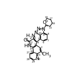 Cc1cc2c(-c3cccc4c3nnn4C3CCCCO3)c(N)c(=O)[nH]c2c2cccnc12